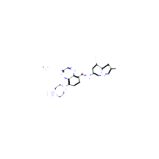 COc1cnc2c(C(=O)Nc3cc(F)c4cc(C)cn4c3)ccc(N3C[C@H](C)N[C@@H](C)C3)c2n1